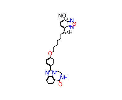 O=C1NCCn2c(-c3ccc(OCCCCCC[AsH]c4ccc([N+](=O)[O-])c5nonc45)cc3)nc3cccc1c32